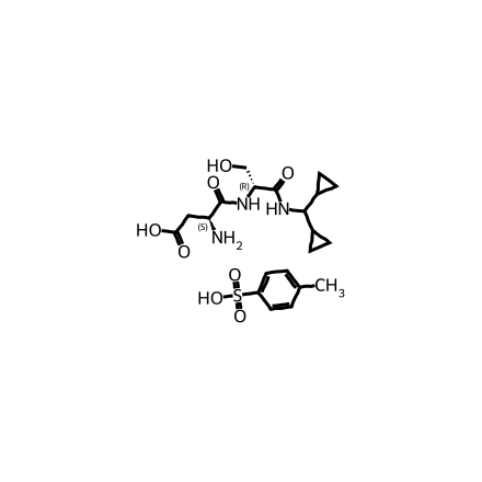 Cc1ccc(S(=O)(=O)O)cc1.N[C@@H](CC(=O)O)C(=O)N[C@H](CO)C(=O)NC(C1CC1)C1CC1